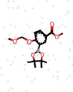 COCOc1ccc(C(=O)OC)cc1B1OC(C)(C)C(C)(C)O1